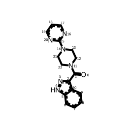 O=C(c1n[nH]c2ccccc12)N1CCN(c2ncccn2)CC1